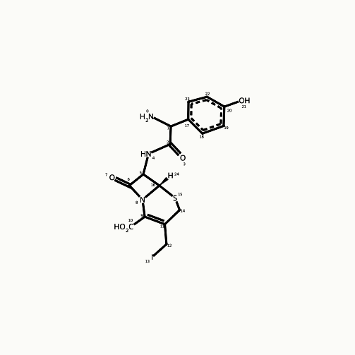 NC(C(=O)NC1C(=O)N2C(C(=O)O)=C(CI)CS[C@@H]12)c1ccc(O)cc1